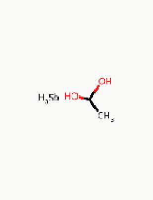 CC(O)O.[SbH3]